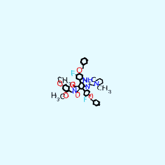 COc1ccc(CN2C(=O)c3c(c4c5cc(F)c(OCc6ccccc6)cc5n(CCN5[C@H](C)CCC[C@@H]5C)c4c4[nH]c5cc(OCc6ccccc6)c(F)cc5c34)C2=O)c(OC)c1